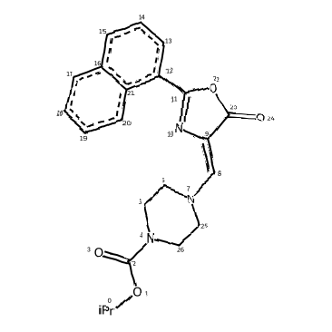 CC(C)OC(=O)N1CCN(C=C2N=C(c3cccc4ccccc34)OC2=O)CC1